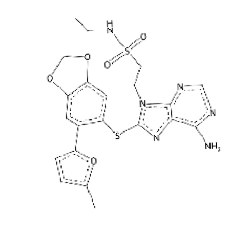 CCNS(=O)(=O)CCn1c(Sc2cc3c(cc2-c2ccc(C)o2)OCO3)nc2c(N)ncnc21